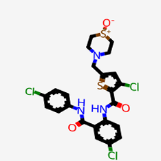 O=C(Nc1ccc(Cl)cc1)c1cc(Cl)ccc1NC(=O)c1sc(CN2CC[S+]([O-])CC2)cc1Cl